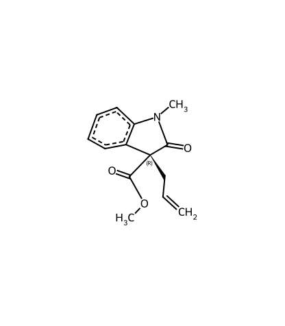 C=CC[C@]1(C(=O)OC)C(=O)N(C)c2ccccc21